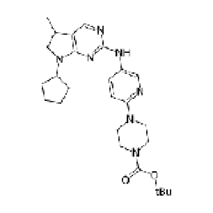 CC1CN(C2CCCC2)c2nc(Nc3ccc(N4CCN(C(=O)OC(C)(C)C)CC4)nc3)ncc21